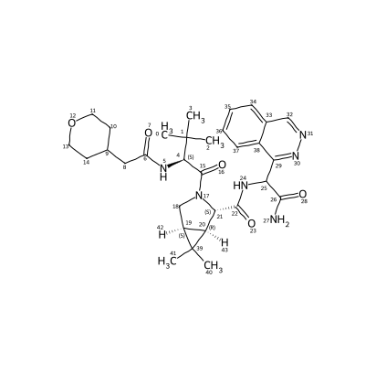 CC(C)(C)[C@H](NC(=O)CC1CCOCC1)C(=O)N1C[C@H]2[C@@H]([C@H]1C(=O)NC(C(N)=O)c1nncc3ccccc13)C2(C)C